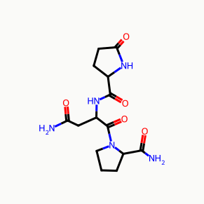 NC(=O)CC(NC(=O)C1CCC(=O)N1)C(=O)N1CCCC1C(N)=O